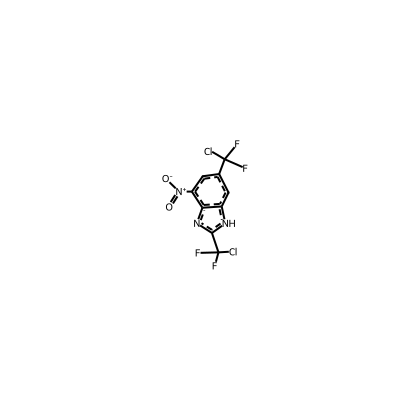 O=[N+]([O-])c1cc(C(F)(F)Cl)cc2[nH]c(C(F)(F)Cl)nc12